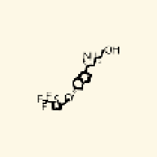 NC[C@H](CCCCO)c1ccc2c(c1)CC[C@@H](COCc1ccc(C(F)(F)F)s1)C2